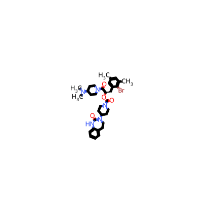 Cc1cc(C)c(Br)c(C[C@@H](OC(=O)N2CCC(N3CCc4ccccc4NC3=O)CC2)C(=O)N2CCC(N(C)C)CC2)c1